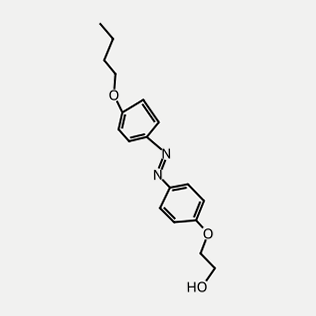 CCCCOc1ccc(N=Nc2ccc(OCCO)cc2)cc1